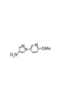 COc1ccc(-n2cc([N+](=O)[O-])cn2)cn1